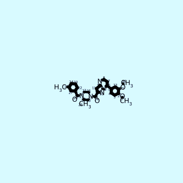 COc1ccc(-c2ccnc3cc(C(=O)N4CCN(C(=O)c5cccc(C)c5)C(C)C4)nn23)cc1OC